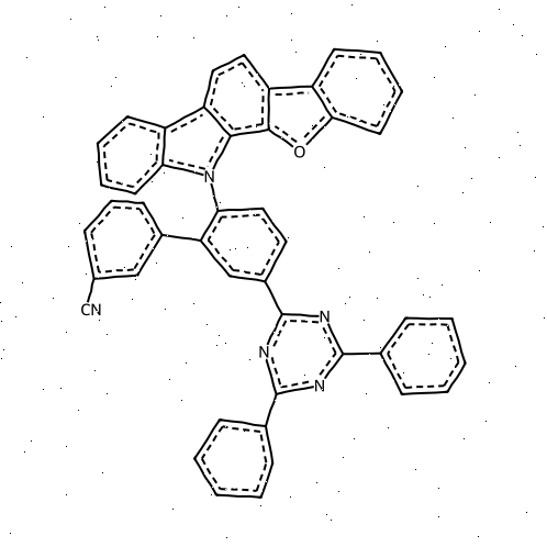 N#Cc1cccc(-c2cc(-c3nc(-c4ccccc4)nc(-c4ccccc4)n3)ccc2-n2c3ccccc3c3ccc4c5ccccc5oc4c32)c1